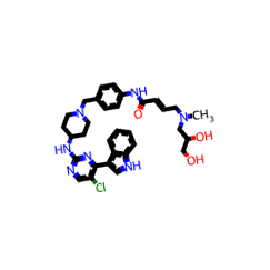 CN(CC=CC(=O)Nc1ccc(CN2CCC(Nc3ncc(Cl)c(-c4c[nH]c5ccccc45)n3)CC2)cc1)CC(O)CO